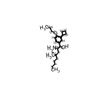 C=C(CCCCC)C[C@@H](N)[C@H](O)c1ccc(OCCC)c(C2CCC2)c1